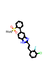 CNS(=O)(=O)c1ccccc1-c1ccc2[nH]c(/C=C/c3cccc(Cl)c3F)nc2c1